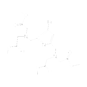 COC(=O)CN(CC(=O)OC)Cc1cc(Br)cc(CN(CC(=O)OC)CC(=O)OC)n1